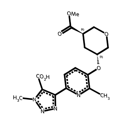 COC(=O)[C@H]1COC[C@H](Oc2ccc(-c3nnn(C)c3C(=O)O)nc2C)C1